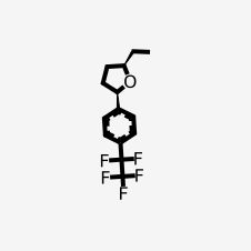 CC[C@@H]1CC[C@H](c2ccc(C(F)(F)C(F)(F)F)cc2)O1